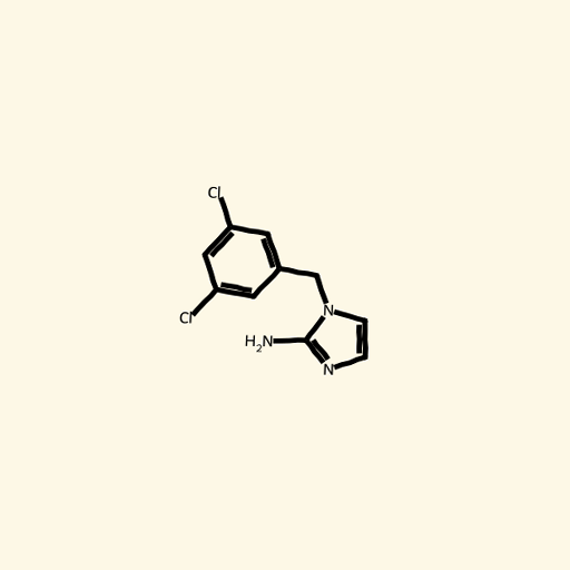 Nc1nccn1Cc1cc(Cl)cc(Cl)c1